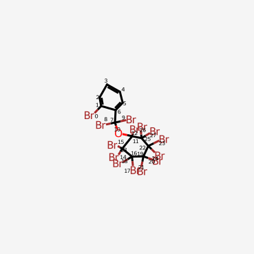 Brc1ccccc1C(Br)(Br)OC1(Br)C(Br)(Br)C(Br)(Br)C(Br)(Br)C(Br)(Br)C1(Br)Br